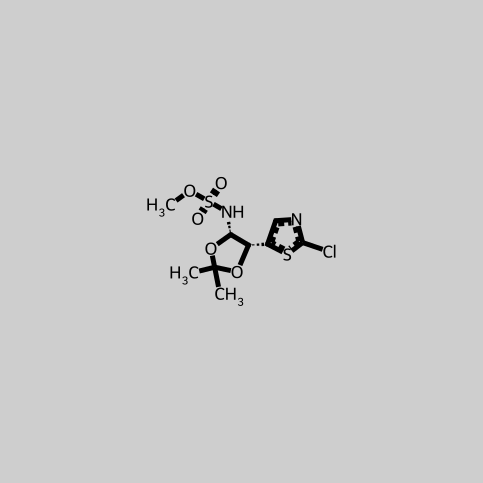 COS(=O)(=O)N[C@H]1OC(C)(C)O[C@H]1c1cnc(Cl)s1